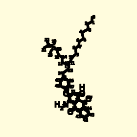 CCCCCCCCCCCCN(CCCCS(C)(C)C(C)C)CCc1ccc(Oc2cc(O)c3c(c2N)C(=O)c2ccccc2C3=O)cc1